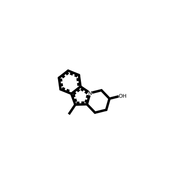 Cc1c2n(c3ccccc13)CC(O)CC2